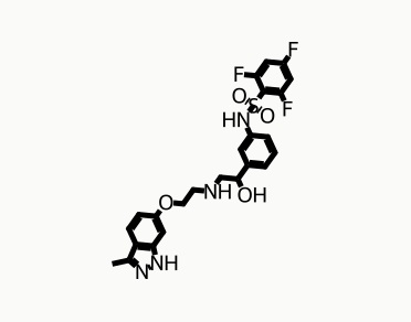 Cc1n[nH]c2cc(OCCNCC(O)c3cccc(NS(=O)(=O)c4c(F)cc(F)cc4F)c3)ccc12